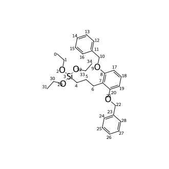 CCO[Si](CCCc1c(OCc2ccccc2)cccc1OCc1ccccc1)(OCC)OCC